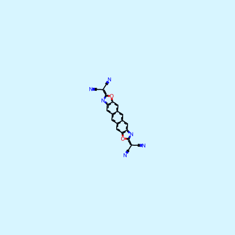 N#CC(C#N)=c1nc2cc3cc4cc5oc(=C(C#N)C#N)nc5cc4cc3cc2o1